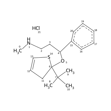 CNCCC(OC1(C(C)(C)C)CC=CS1)c1ccccc1.Cl